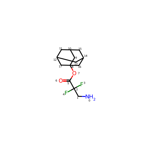 NCC(F)(F)C(=O)OC12CC3CC(CC(C3)C1)C2